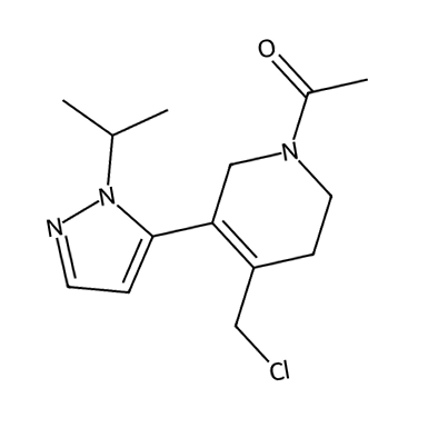 CC(=O)N1CCC(CCl)=C(c2ccnn2C(C)C)C1